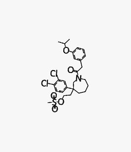 CC(C)Oc1cccc(CC(=O)N2CCCCC(CCOS(C)(=O)=O)(c3ccc(Cl)c(Cl)c3)C2)c1